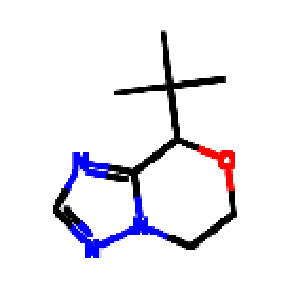 CC(C)(C)C1OCCn2ncnc21